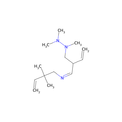 C=CC(/C=N\CC(C)(C)C=C)CN(C)N(C)C